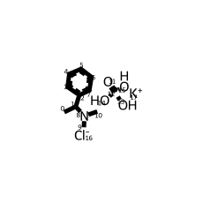 CC(c1ccccc1)N(C)C.O=P(O)(O)O.[Cl-].[K+]